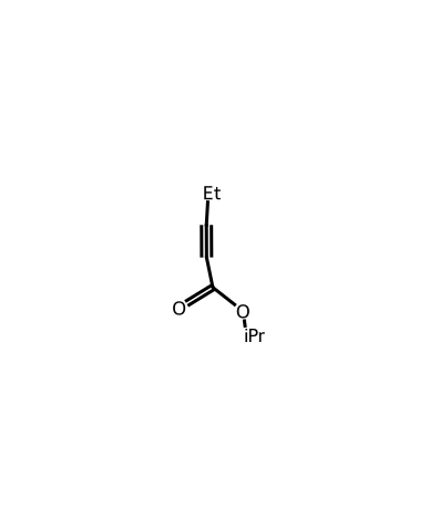 CCC#CC(=O)OC(C)C